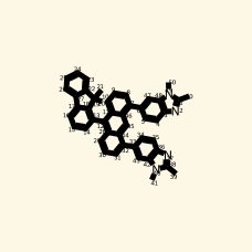 Cc1nc2ccc(-c3cccc4c(-c5cccc6c5C(C)(C)c5ccccc5-6)c5cccc(-c6ccc7nc(C)n(C)c7c6)c5cc34)cc2n1C